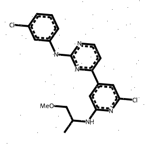 COCC(C)Nc1cc(-c2ccnc([N]c3cccc(Cl)c3)n2)cc(Cl)n1